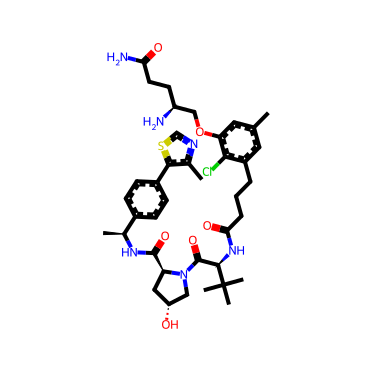 Cc1cc(CCCC(=O)N[C@H](C(=O)N2C[C@H](O)C[C@H]2C(=O)N[C@@H](C)c2ccc(-c3scnc3C)cc2)C(C)(C)C)c(Cl)c(OC[C@@H](N)CCC(N)=O)c1